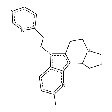 Cc1ccc2c(n1)c1c(n2CCc2ccncn2)CCN2CCCC12